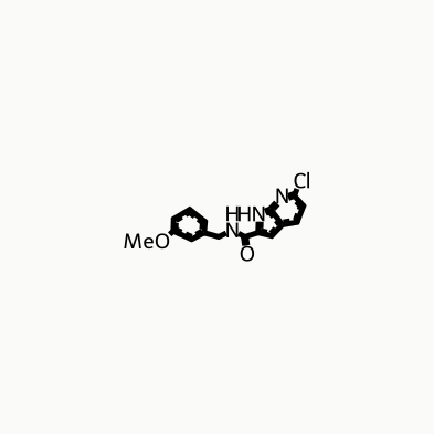 COc1cccc(CNC(=O)c2cc3ccc(Cl)nc3[nH]2)c1